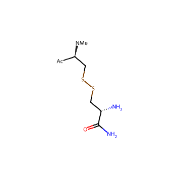 CN[C@@H](CSSC[C@H](N)C(N)=O)C(C)=O